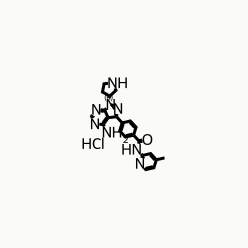 Cc1ccnc(NC(=O)c2ccc(-c3nn([C@@H]4CCNC4)c4ncnc(N)c34)cc2)c1.Cl